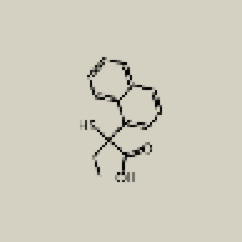 CCC(S)(C(=O)O)c1cccc2ccccc12